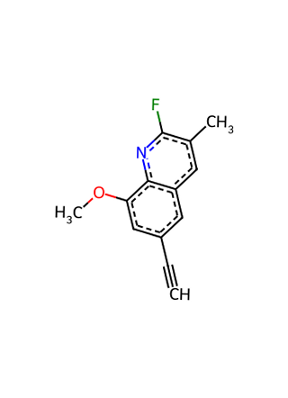 C#Cc1cc(OC)c2nc(F)c(C)cc2c1